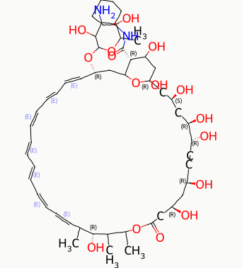 CC1OC(O[C@H]2/C=C/C=C/C=C/C=C/C=C/C=C/C=C/C(C)[C@@H](O)C(C)C(C)OC(=O)C[C@H](O)C[C@H](O)CC[C@@H](O)[C@H](O)C[C@H](O)C[C@]3(O)CC(O)[C@@H](C(=O)NC4CCCCC4)C(C2)O3)C(O)C(N)C1O